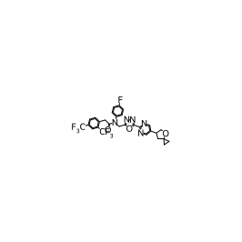 O=C(Cc1ccc(C(F)(F)F)cc1C(F)(F)F)N(Cc1nnc(-c2ncc(C3COC4(CC4)C3)cn2)o1)c1ccc(F)cc1